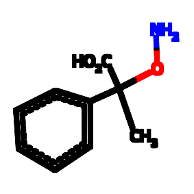 CC(ON)(C(=O)O)c1ccccc1